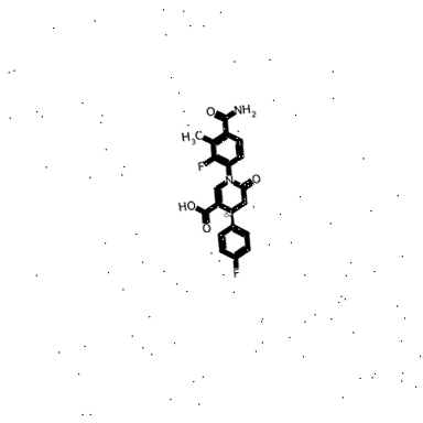 Cc1c(C(N)=O)ccc(N2C=C(C(=O)O)[C@H](c3ccc(F)cc3)CC2=O)c1F